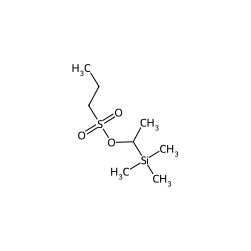 CCCS(=O)(=O)OC(C)[Si](C)(C)C